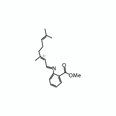 COC(=O)c1ccccc1N=C/C=C(\C)CCC=C(C)C